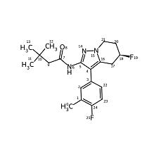 Cc1cc(-c2c(NC(=O)CC(C)(C)C)nn3c2C[C@H](F)CC3)ccc1F